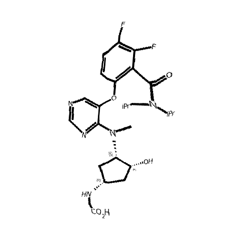 CC(C)N(C(=O)c1c(Oc2cncnc2N(C)[C@H]2C[C@@H](NC(=O)O)C[C@H]2O)ccc(F)c1F)C(C)C